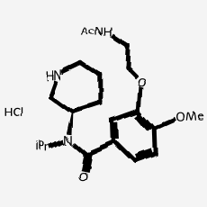 COc1ccc(C(=O)N(C(C)C)[C@@H]2CCCNC2)cc1OCCNC(C)=O.Cl